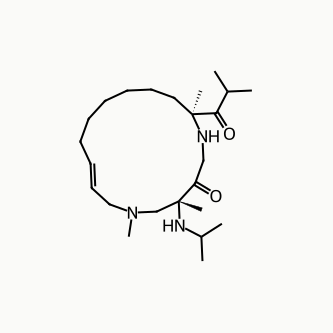 CC(C)N[C@]1(C)CN(C)C/C=C/CCCCCC[C@@](C)(C(=O)C(C)C)NCC1=O